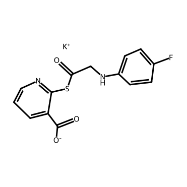 O=C(CNc1ccc(F)cc1)Sc1ncccc1C(=O)[O-].[K+]